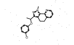 CC(Oc1cccc(Cl)c1)c1nn(C)c2c1CCc1cccnc1-2